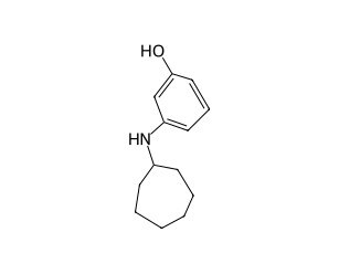 Oc1cccc(NC2CCCCCC2)c1